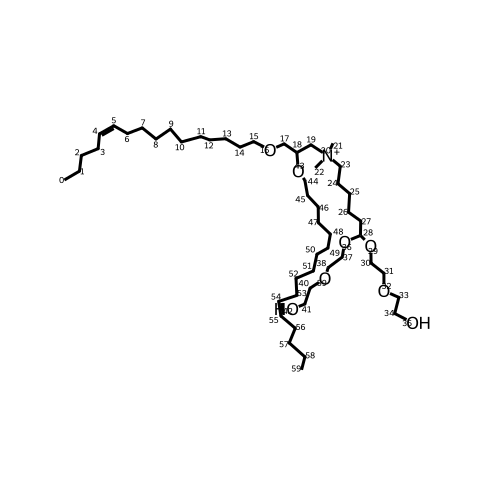 CCCC/C=C\CCCCCCCCCCOCC(C[N+](C)(C)CCCCCC(OCCOCCO)OCCOCCO)OCCCCCCCCCC/C=C\CCCC